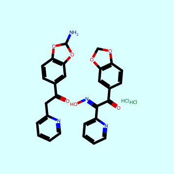 Cl.Cl.NC1Oc2ccc(C(=O)Cc3ccccn3)cc2O1.O=C(C(=NO)c1ccccn1)c1ccc2c(c1)OCO2